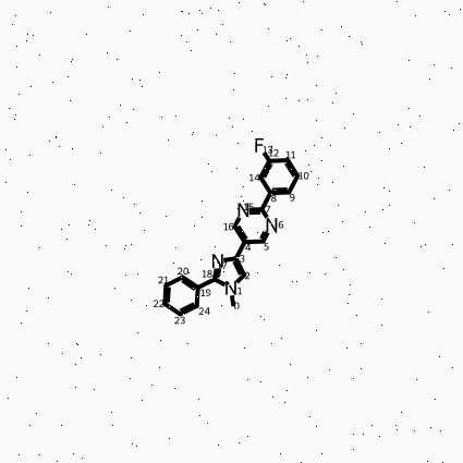 Cn1cc(-c2cnc(-c3cccc(F)c3)nc2)nc1-c1ccccc1